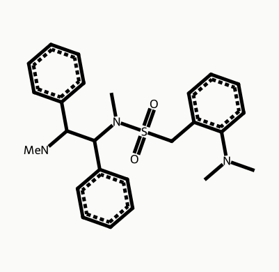 CNC(c1ccccc1)C(c1ccccc1)N(C)S(=O)(=O)Cc1ccccc1N(C)C